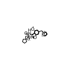 COc1cc(Cn2cccn2)cc2onc(NS(=O)(=O)CC3(OC)CCCC3)c12